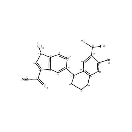 CNC(=O)c1cn(C)c2cnc(N3CCCc4cc(Br)c(C(F)F)cc43)cc12